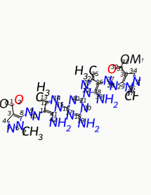 COC(=O)c1cnn(C)c1/N=N/c1c(C)nn(-c2nc(N)nc(-n3nc(C)c(/N=N/c4c(C(=O)OC)cnn4C)c3N)n2)c1N